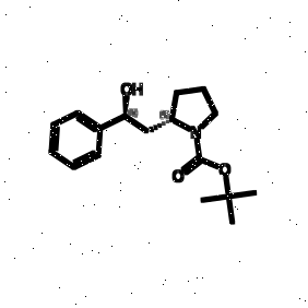 CC(C)(C)OC(=O)N1CCC[C@H]1C[C@H](O)c1ccccc1